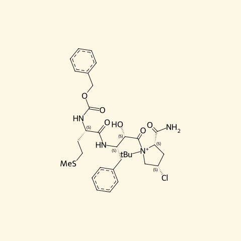 CSCC[C@H](NC(=O)OCc1ccccc1)C(=O)N[C@@H](Cc1ccccc1)[C@H](O)C(=O)[N+]1(C(C)(C)C)C[C@@H](Cl)C[C@H]1C(N)=O